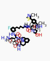 Cc1ncsc1-c1ccc([C@H](C)NC(=O)[C@@H]2C[C@@H](O)CN2C(=O)[C@@H](NC(=O)CCCCCc2cc(F)cc(NC(=O)[C@H](CCC(N)=O)NC(=O)[C@@H]3Cc4cccc5c4N3C(=O)[C@@H](NC(=O)OC(C)(C)C)CC5)c2)C(C)(C)C)cc1